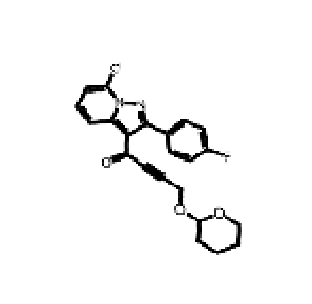 O=C(C#CCOC1CCCCO1)c1c(-c2ccc(F)cc2)nn2c(Cl)cccc12